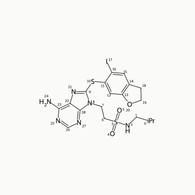 CC(C)CNS(=O)(=O)CCn1c(Sc2cc3c(cc2I)CCO3)nc2c(N)ncnc21